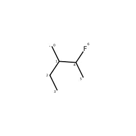 [CH2]C(CC)C(C)F